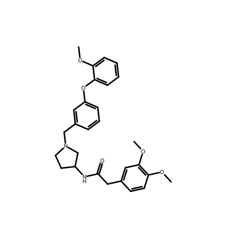 COc1ccc(CC(=O)NC2CCN(Cc3cccc(Oc4ccccc4OC)c3)C2)cc1OC